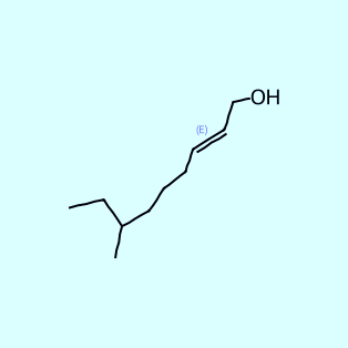 CCC(C)CCC/C=C/CO